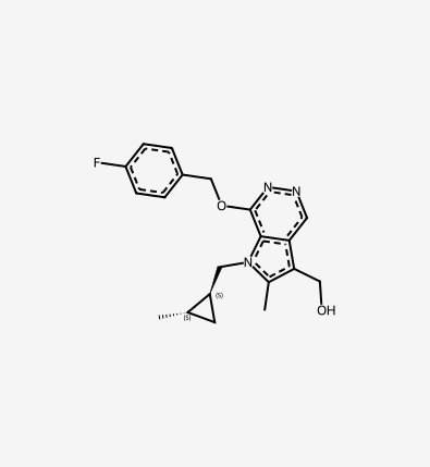 Cc1c(CO)c2cnnc(OCc3ccc(F)cc3)c2n1C[C@H]1C[C@@H]1C